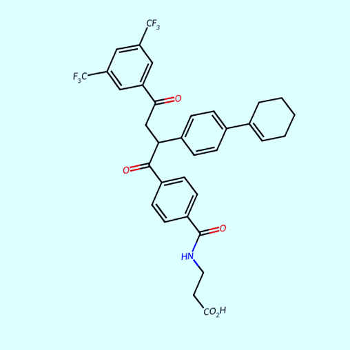 O=C(O)CCNC(=O)c1ccc(C(=O)C(CC(=O)c2cc(C(F)(F)F)cc(C(F)(F)F)c2)c2ccc(C3=CCCCC3)cc2)cc1